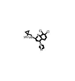 OC1(CNc2cc(-n3ccnc3)c3ccc(Cl)c(Cl)c3n2)CC1